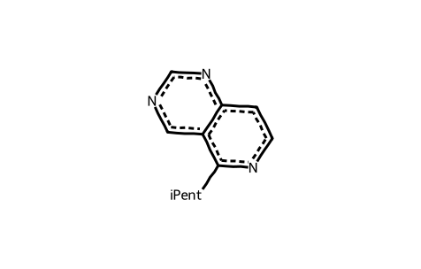 CCCC(C)c1nccc2ncncc12